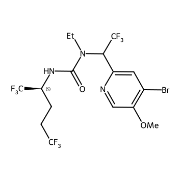 CCN(C(=O)N[C@@H](CCC(F)(F)F)C(F)(F)F)C(c1cc(Br)c(OC)cn1)C(F)(F)F